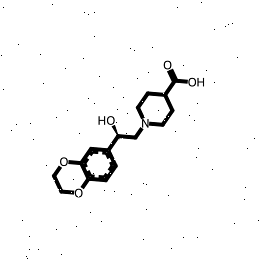 O=C(O)C1CCN(C[C@H](O)c2ccc3c(c2)OCCO3)CC1